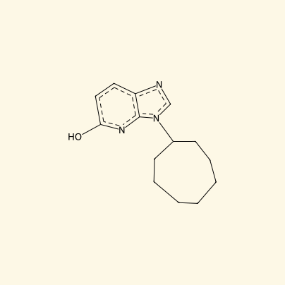 Oc1ccc2ncn(C3CCCCCCC3)c2n1